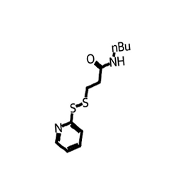 CCCCNC(=O)CCSSc1ccccn1